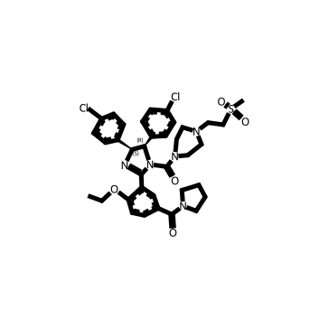 CCOc1ccc(C(=O)N2CCCC2)cc1C1=N[C@@H](c2ccc(Cl)cc2)[C@@H](c2ccc(Cl)cc2)N1C(=O)N1CCN(CCS(C)(=O)=O)CC1